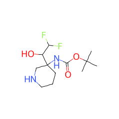 CC(C)(C)OC(=O)NC1(C(O)C(F)F)CCCNC1